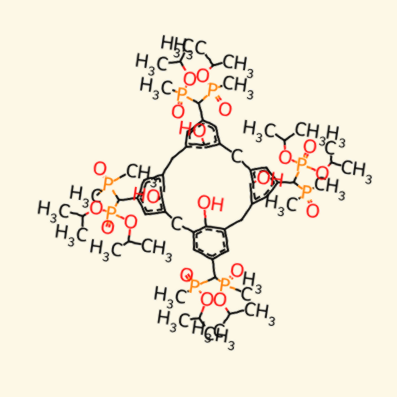 CC(C)OP(C)(=O)C(c1cc2c(O)c(c1)Cc1cc(C(P(C)(C)=O)P(=O)(OC(C)C)OC(C)C)cc(c1O)Cc1cc(C(P(C)(=O)OC(C)C)P(C)(=O)OC(C)C)cc(c1O)Cc1cc(C(P(C)(C)=O)P(=O)(OC(C)C)OC(C)C)cc(c1O)C2)P(C)(=O)OC(C)C